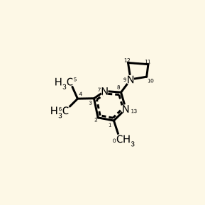 Cc1cc(C(C)C)nc(N2CCC2)n1